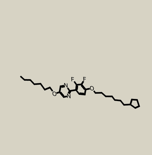 CCCCCCCOc1cnc(-c2ccc(OCCCCCCCC3CCCC3)c(F)c2F)nc1